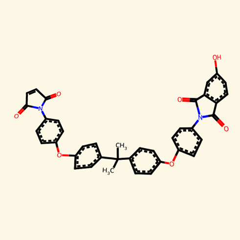 CC(C)(c1ccc(Oc2ccc(N3C(=O)C=CC3=O)cc2)cc1)c1ccc(Oc2ccc(N3C(=O)c4ccc(O)cc4C3=O)cc2)cc1